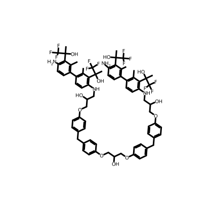 Cc1c(-c2ccc(NCC(O)COc3ccc(Cc4ccc(OCC(O)COc5ccc(Cc6ccc(OCC(O)CNc7ccc(-c8ccc(N)c(C(C)(O)C(F)(F)F)c8C)c(C)c7C(C)(O)C(F)(F)F)cc6)cc5)cc4)cc3)c(C(C)(O)C(F)(F)F)c2C)ccc(N)c1C(C)(O)C(F)(F)F